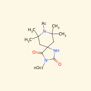 CCCCCCCCN1C(=O)NC2(CC(C)(C)N(C(C)=O)C(C)(C)C2)C1=O